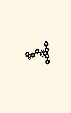 c1ccc(-c2ccc3c4ccc(-c5ccccc5)cc4c4nc(-c5cccc(-c6ccc7oc8ccccc8c7c6)c5)cnc4c3c2)cc1